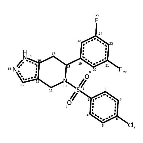 O=S(=O)(c1ccc(Cl)cc1)N1Cc2cn[nH]c2CC1c1cc(F)cc(F)c1